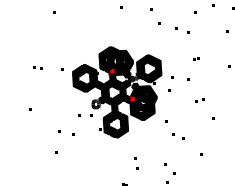 [O-]c1c(-c2ccccc2)c(-c2ccccc2)c([P+](c2ccccc2)(c2ccccc2)c2ccccc2)c(-c2ccccc2)c1-c1ccccc1